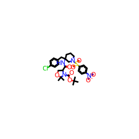 CC(C)(C)OC(=O)N1C(C(=O)NC2(Cc3ccc(Cl)cc3)CCCN(S(=O)(=O)c3ccc([N+](=O)[O-])cc3)C2)COC1(C)C